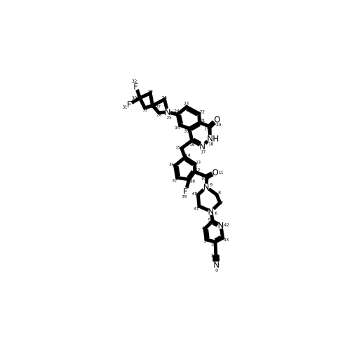 N#Cc1ccc(N2CCN(C(=O)c3cc(Cc4n[nH]c(=O)c5ccc(N6CC7(C6)CC(F)(F)C7)cc45)ccc3F)CC2)nc1